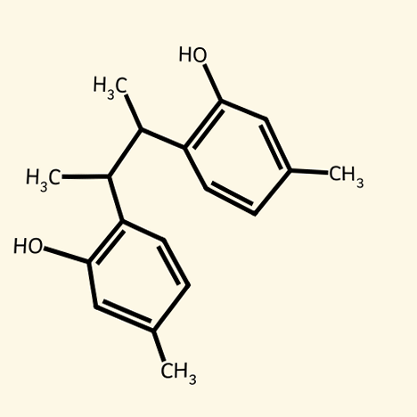 Cc1ccc(C(C)C(C)c2ccc(C)cc2O)c(O)c1